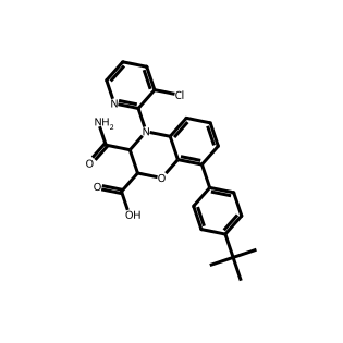 CC(C)(C)c1ccc(-c2cccc3c2OC(C(=O)O)C(C(N)=O)N3c2ncccc2Cl)cc1